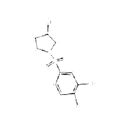 O=S(=O)(c1ccc(Br)c(Cl)c1)N1CC[C@@H](O)C1